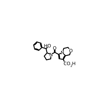 O=C(O)c1cc(C(=O)N2CCCC2C(O)c2ccccc2)n2c1COCC2